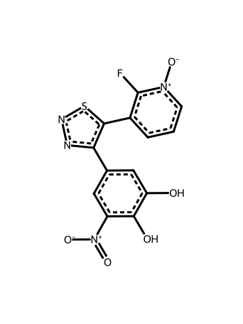 O=[N+]([O-])c1cc(-c2nnsc2-c2ccc[n+]([O-])c2F)cc(O)c1O